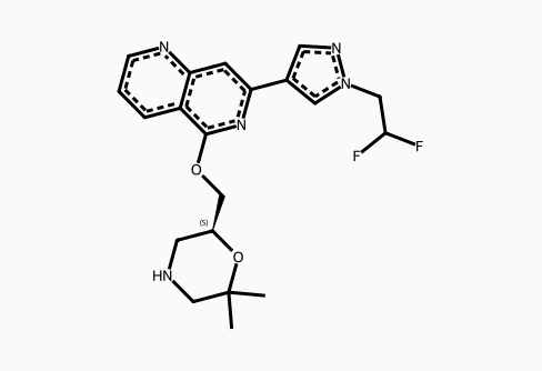 CC1(C)CNC[C@@H](COc2nc(-c3cnn(CC(F)F)c3)cc3ncccc23)O1